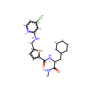 CNC(=O)C(CC1CCCCC1)NC(=O)c1ccc(CNc2cc(Cl)ccn2)s1